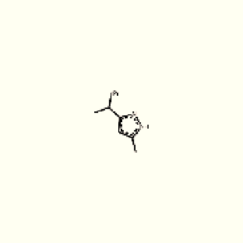 CCCC(C)c1cc(C)[nH]n1